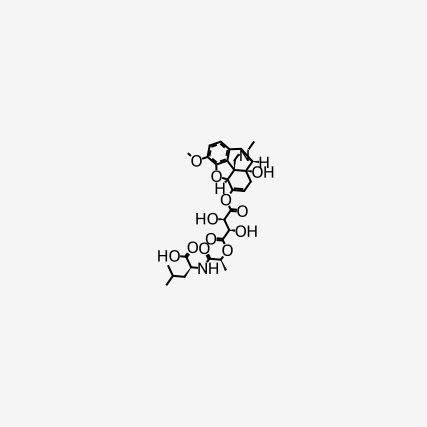 COc1ccc2c3c1O[C@H]1C(OC(=O)[C@H](O)[C@@H](O)C(=O)O[C@@H](C)C(=O)N[C@@H](CC(C)C)C(=O)O)=CC[C@@]4(O)[C@@H](C2)N(C)CC[C@]314